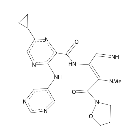 CN/C(C(=O)N1CCCO1)=C(\C=N)NC(=O)c1nc(C2CC2)cnc1Nc1cncnc1